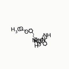 COCCOc1cccc(CCc2cc(NC(=O)c3ccccc3[N+]3(C)CCNCC3)[nH]n2)c1